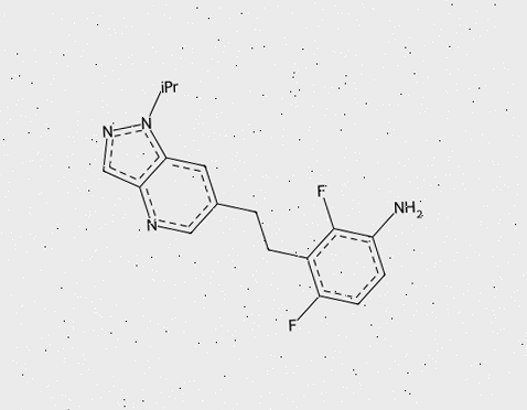 CC(C)n1ncc2ncc(CCc3c(F)ccc(N)c3F)cc21